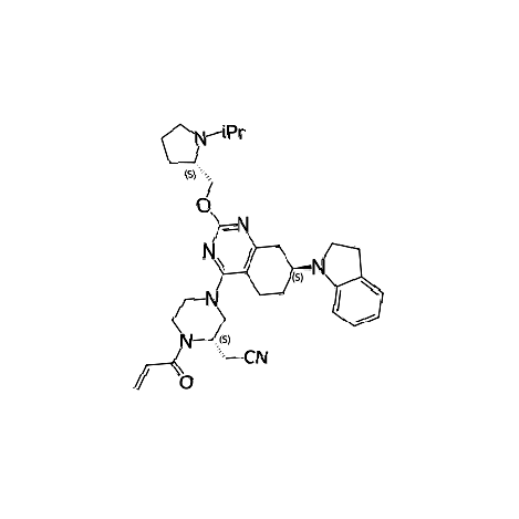 C=CC(=O)N1CCN(c2nc(OC[C@@H]3CCCN3C(C)C)nc3c2CC[C@H](N2CCc4ccccc42)C3)C[C@@H]1CC#N